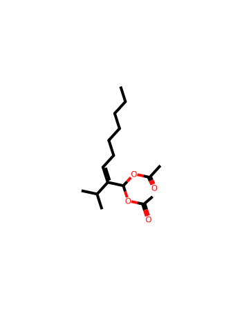 CCCCCCC=C(C(C)C)C(OC(C)=O)OC(C)=O